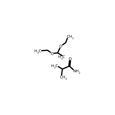 CC(C)C(N)=O.CCOC(C)OCC